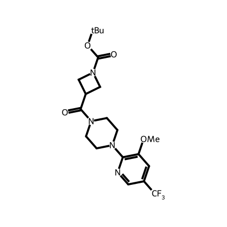 COc1cc(C(F)(F)F)cnc1N1CCN(C(=O)C2CN(C(=O)OC(C)(C)C)C2)CC1